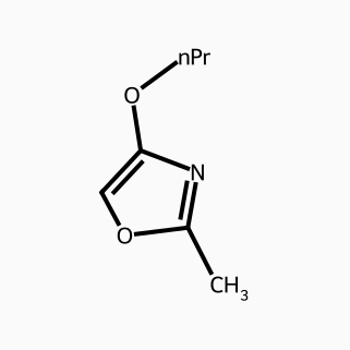 CCCOc1coc(C)n1